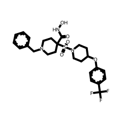 O=C(NO)C1(S(=O)(=O)N2CCC(Oc3ccc(C(F)(F)F)cc3)CC2)CCN(Cc2ccccc2)CC1